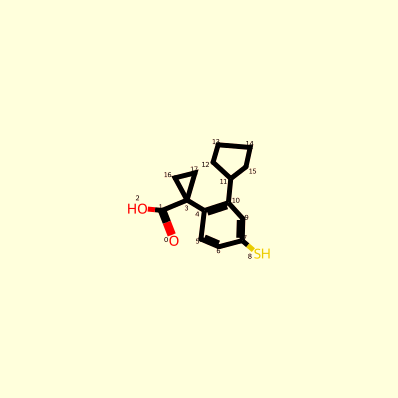 O=C(O)C1(c2ccc(S)cc2C2CCCC2)CC1